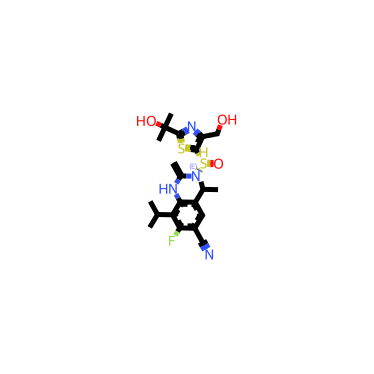 C=C(/N=[SH](=O)\c1sc(C(C)(C)O)nc1CO)Nc1c(C(C)C)cc(C#N)c(F)c1C(C)C